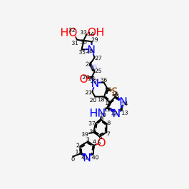 Cc1ccc(Oc2ccc(Nc3ncnc4sc5c(c34)CCN(C(=O)/C=C/CN3CC(CO)(CO)C3)C5)cc2C)cn1